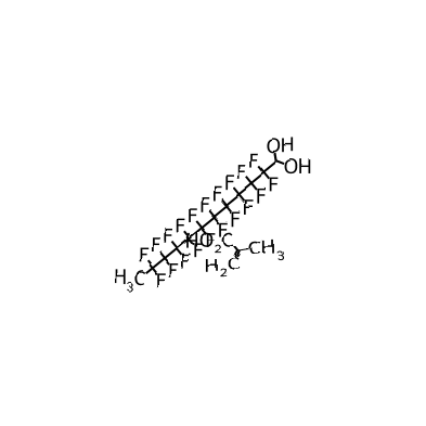 C=C(C)C(=O)O.CC(F)(F)C(F)(F)C(F)(F)C(F)(F)C(F)(F)C(F)(F)C(F)(F)C(F)(F)C(F)(F)C(F)(F)C(O)O